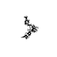 Cc1ccc(Oc2ccc(Nc3ncnc4[nH]nc(OCCN5CCN(C6CC6)CC5)c34)cc2Cl)cn1